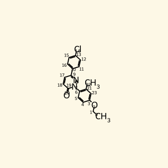 CCOc1ccc(-n2nc(-c3ccc(Cl)cc3)ccc2=O)c(C)c1